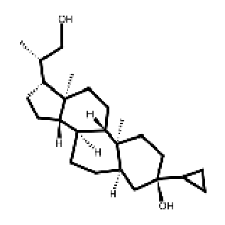 C[C@H](CO)[C@H]1CC[C@H]2[C@@H]3CC[C@@H]4C[C@@](O)(C5CC5)CC[C@]4(C)[C@H]3CC[C@]12C